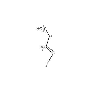 O=C(O)CC=CF.[K]